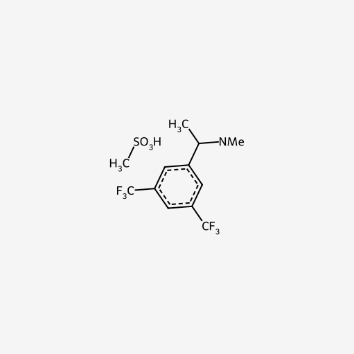 CNC(C)c1cc(C(F)(F)F)cc(C(F)(F)F)c1.CS(=O)(=O)O